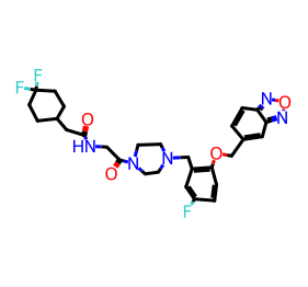 O=C(CC1CCC(F)(F)CC1)NCC(=O)N1CCN(Cc2cc(F)ccc2OCc2ccc3nonc3c2)CC1